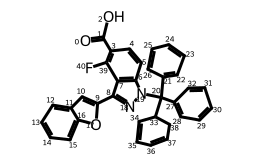 O=C(O)c1ccc2c(c(-c3cc4ccccc4o3)nn2C(c2ccccc2)(c2ccccc2)C2C=CC=CC2)c1F